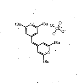 CC(C)(C)C1=CC(=Cc2cc(C(C)(C)C)[s+]c(C(C)(C)C)c2)C=C(C(C)(C)C)S1.[O-][Cl+3]([O-])([O-])[O-]